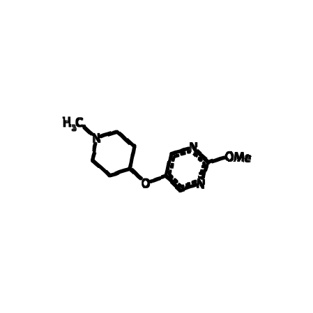 COc1ncc(OC2CCN(C)CC2)cn1